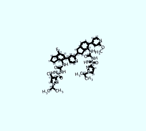 COc1cc(-c2ccc3c(c2NC(=O)N[S@](=N)(=O)c2ccn(C(C)C)n2)CC(c2cc(-c4cc(F)c5c(c4NC(=O)NS(=N)(=O)c4nn(C(C)C)cc4Cl)CCC5)ccn2)C3)ccn1